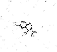 CCC(=O)c1cnc2ccc(CO)nc2c1O